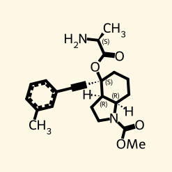 COC(=O)N1CC[C@@H]2[C@H]1CCC[C@]2(C#Cc1cccc(C)c1)OC(=O)[C@H](C)N